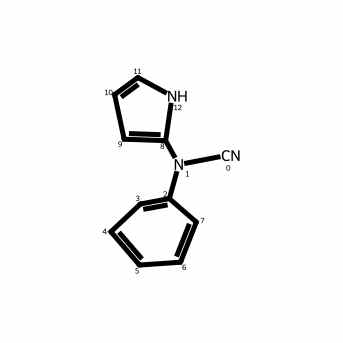 N#CN(c1ccccc1)c1ccc[nH]1